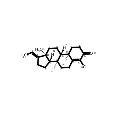 C/C=C1\CC[C@H]2[C@@H]3CCC4=C(Cl)C(=O)CC[C@@H]4[C@H]3CC[C@]12C